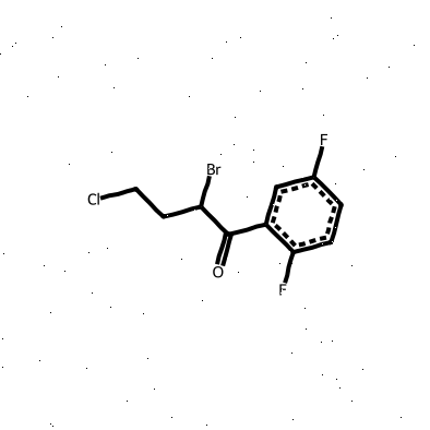 O=C(c1cc(F)ccc1F)C(Br)CCCl